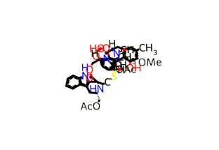 COc1c(C)cc2c(c1O)[C@H]1[C@@H]3[C@@H]4SCC[C@]5(N[C@H](COC(C)=O)Cc6c5[nH]c5ccccc65)C(=O)OC[C@@H](c5c6c(c(C)c(OC(C)=O)c54)OCO6)N3[C@@H](O)[C@H](C2)N1C